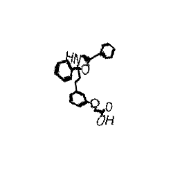 O=C(O)COc1cccc(CCC2(c3ccccc3)NC=C(c3ccccc3)O2)c1